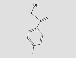 C=C(CO)c1ccc(C)cc1